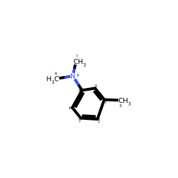 Cc1[c]ccc(N(C)C)c1